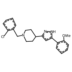 COc1ccccc1-c1cc(C2CCN(Cc3ccccc3Cl)CC2)n[nH]1